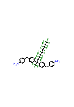 Nc1ccc(Cc2ccc(C(c3ccc(Cc4ccc(N)cc4)cc3)(C(F)(F)F)C(F)(F)C(F)(F)C(F)(F)C(F)(F)C(F)(F)C(F)(F)C(F)(F)C(F)(F)F)cc2)cc1